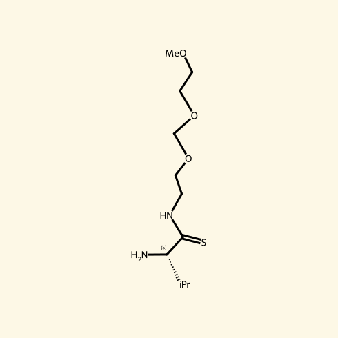 COCCOCOCCNC(=S)[C@@H](N)C(C)C